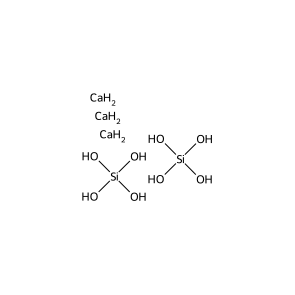 O[Si](O)(O)O.O[Si](O)(O)O.[CaH2].[CaH2].[CaH2]